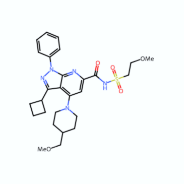 COCCS(=O)(=O)NC(=O)c1cc(N2CCC(COC)CC2)c2c(C3CCC3)nn(-c3ccccc3)c2n1